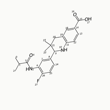 CC(C)C(=O)Nc1cc(C2Nc3ccc(C(=O)O)cc3CC2(C)C)ccc1F